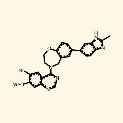 COc1cc2ncnc(N3CCOc4ccc(-c5ccc6nc(C)[nH]c6c5)cc4C3)c2cc1Br